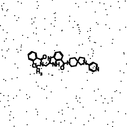 CN(Cc1nc2cccc(C(=O)N3CCC4(CC3)CCN(c3ccncc3)C4)c2[nH]1)C(=O)c1ccccc1Cl